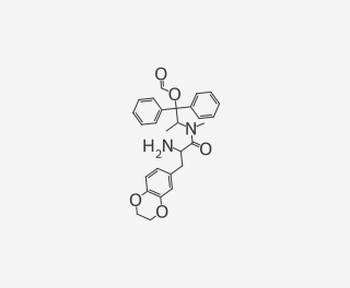 CC(N(C)C(=O)C(N)Cc1ccc2c(c1)OCCO2)C(OC=O)(c1ccccc1)c1ccccc1